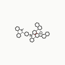 C[C@@H]1c2ccccc2-c2ccccc2C1c1ccc(N(c2ccc(-c3cccc4ccccc34)cc2)c2ccccc2-c2ccc3oc4c5ccccc5ccc4c3c2)cc1